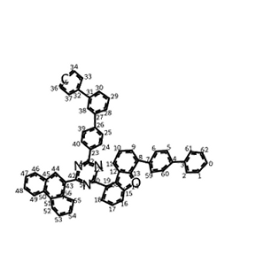 c1ccc(-c2ccc(-c3cccc4c3oc3cccc(-c5nc(-c6ccc(-c7cccc(-c8ccccc8)c7)cc6)nc(-c6cc7ccccc7c7ccccc67)n5)c34)cc2)cc1